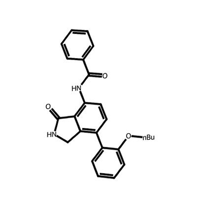 CCCCOc1ccccc1-c1ccc(NC(=O)c2ccccc2)c2c1CNC2=O